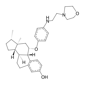 C[C@H]1CC[C@H]2[C@@H]3CCc4cc(O)ccc4[C@H]3[C@@H](Oc3ccc(NCCN4CCOCC4)cc3)C[C@]12C